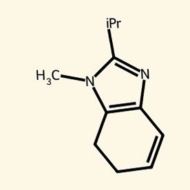 CC(C)c1nc2c(n1C)CCC=C2